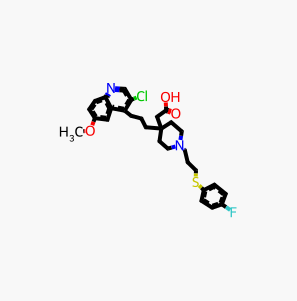 COc1ccc2ncc(Cl)c(CCCC3(CC(=O)O)CCN(CCCSc4ccc(F)cc4)CC3)c2c1